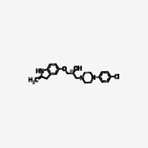 C=C1Cc2cc(OC[C@@H](O)CN3CCN(c4ccc(Cl)cc4)CC3)ccc2N1